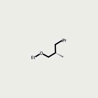 CCOC[C@@H](C)CC(C)C